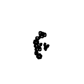 CCN(CC)CC.CCOC(=O)C(CCOc1ccccc1)Cc1ccc(OCCOS(C)(=O)=O)cc1